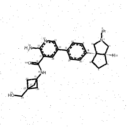 CC(C)N1C[C@H]2CCC[C@@]2(c2ccc(-c3cnc(N)c(C(=O)NC45CC(CO)(C4)C5)c3)cc2)C1